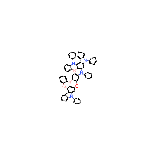 c1ccc(N2c3cc4c(cc3B3c5ccccc5N(c5ccccc5)c5c3c2cc2c5c3ccccc3n2-c2ccccc2)B2c3ccccc3Oc3c2c(cc2c3c3ccccc3n2-c2ccccc2)O4)cc1